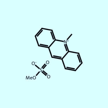 COS(=O)(=O)[O-].C[n+]1c2ccccc2cc2ccccc21